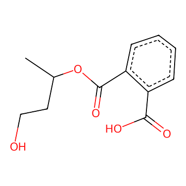 CC(CCO)OC(=O)c1ccccc1C(=O)O